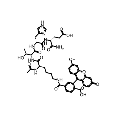 CC(=O)N[C@H](CCCCNC(=O)c1ccc(C(=O)O)c(-c2c3ccc(=O)cc-3oc3cc(O)ccc23)c1)C(=O)N[C@@H](C(=O)N[C@H](Cc1c[nH]cn1)C(=O)N[C@H](CCC(=O)O)C(N)=O)[C@H](C)O